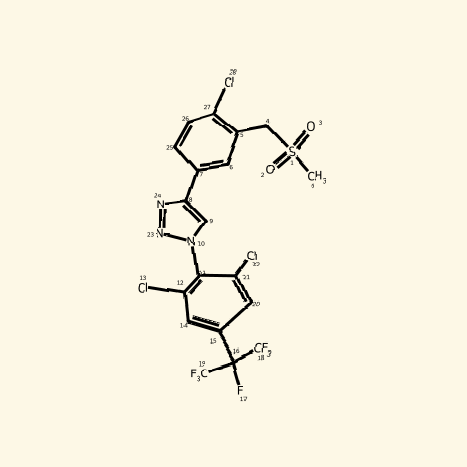 CS(=O)(=O)Cc1cc(-c2cn(-c3c(Cl)cc(C(F)(C(F)(F)F)C(F)(F)F)cc3Cl)nn2)ccc1Cl